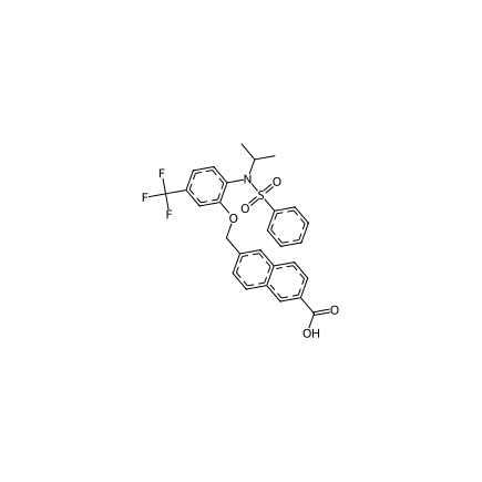 CC(C)N(c1ccc(C(F)(F)F)cc1OCc1ccc2cc(C(=O)O)ccc2c1)S(=O)(=O)c1ccccc1